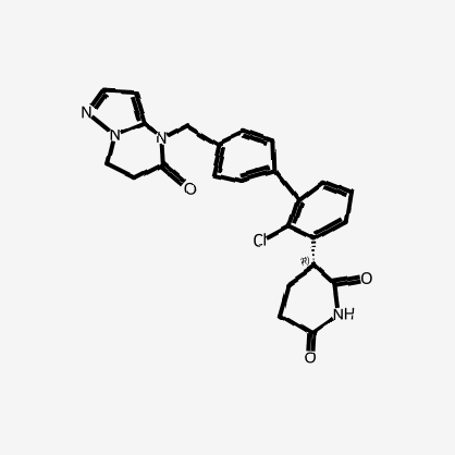 O=C1CC[C@H](c2cccc(-c3ccc(CN4C(=O)CCn5nccc54)cc3)c2Cl)C(=O)N1